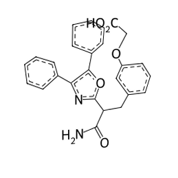 NC(=O)C(Cc1cccc(OCC(=O)O)c1)c1nc(-c2ccccc2)c(-c2ccccc2)o1